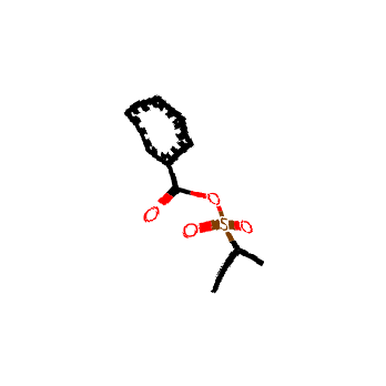 CC(C)S(=O)(=O)OC(=O)c1ccccc1